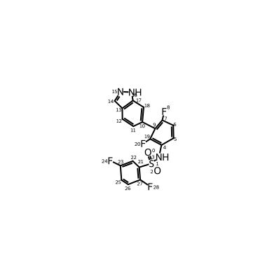 O=S(=O)(Nc1ccc(F)c(-c2ccc3cn[nH]c3c2)c1F)c1cc(F)ccc1F